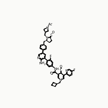 CC(=O)N1CC(CN2C(=C=O)CC[C@H]2Cc2ccc(-c3cnc(N)c(-c4ccc(NC(=O)C5=CN(CC6CCC6)C=C(c6ccc(F)cn6)C5=C=O)cc4F)c3)cc2)C1